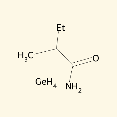 CCC(C)C(N)=O.[GeH4]